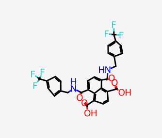 O=C(O)c1ccc(C(=O)O)c2c(C(=O)NCc3ccc(C(F)(F)F)cc3)ccc(C(=O)NCc3ccc(C(F)(F)F)cc3)c12